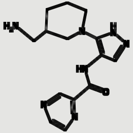 NCC1CCCN(c2[nH]ncc2NC(=O)c2cnccn2)C1